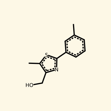 Cc1cccc(-c2nc(CO)c(C)s2)c1